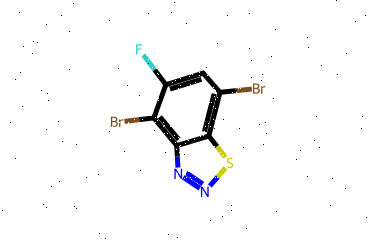 Fc1cc(Br)c2snnc2c1Br